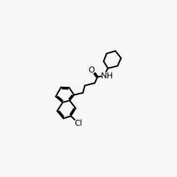 O=C(CCCc1cccc2ccc(Cl)cc12)NC1CCCCC1